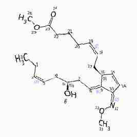 CC/C=C\C[C@H](O)C/C=C1/C(=N\OC)C=C[C@@H]1C/C=C\CCCC(=O)OC